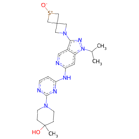 CC(C)n1nc(N2CC3(C2)C[S+]([O-])C3)c2cnc(Nc3ccnc(N4CCC(C)(O)CC4)n3)cc21